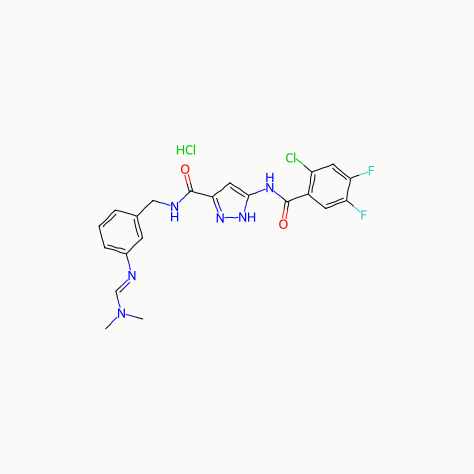 CN(C)C=Nc1cccc(CNC(=O)c2cc(NC(=O)c3cc(F)c(F)cc3Cl)[nH]n2)c1.Cl